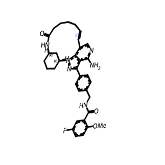 COc1ccc(F)cc1C(=O)NCc1ccc(-c2nn3c4c(cnc(N)c24)/C=C/CCCCC(=O)N[C@@H]2CCC[C@@H]3C2)cc1